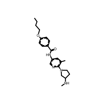 CCCCOc1ccc(C(=O)Nc2cnc(N3CCC(NC)C3)c(C)c2)cc1